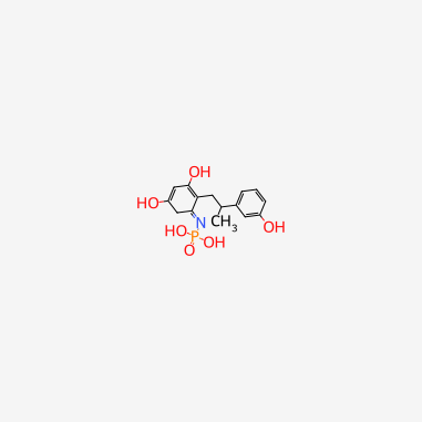 CC(CC1=C(O)C=C(O)CC1=NP(=O)(O)O)c1cccc(O)c1